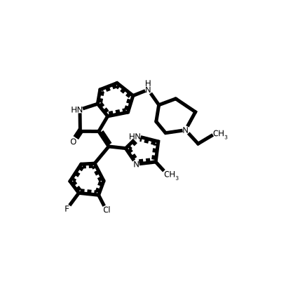 CCN1CCC(Nc2ccc3c(c2)C(=C(c2ccc(F)c(Cl)c2)c2nc(C)c[nH]2)C(=O)N3)CC1